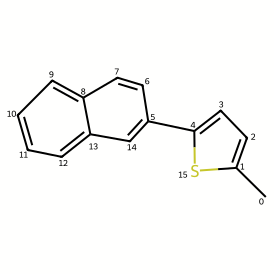 Cc1ccc(-c2ccc3ccccc3c2)s1